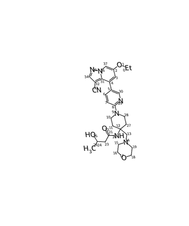 CCOc1cc(-c2ccc(N3CCC(CN4CCOCC4)(NC(=O)CC(C)O)CC3)nc2)c2c(C#N)cnn2c1